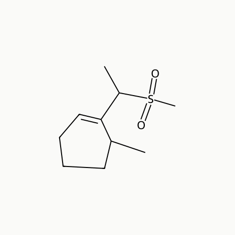 CC1CCCC=C1C(C)S(C)(=O)=O